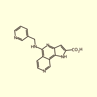 O=C(O)c1cc2nc(NCc3cccnc3)c3ccncc3c2[nH]1